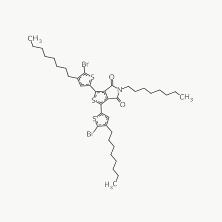 CCCCCCCCc1cc(-c2sc(-c3cc(CCCCCCCC)c(Br)s3)c3c2C(=O)N(CCCCCCCC)C3=O)sc1Br